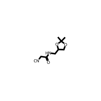 [C-]#[N+]CC(=O)NCC1COC(C)(C)O1